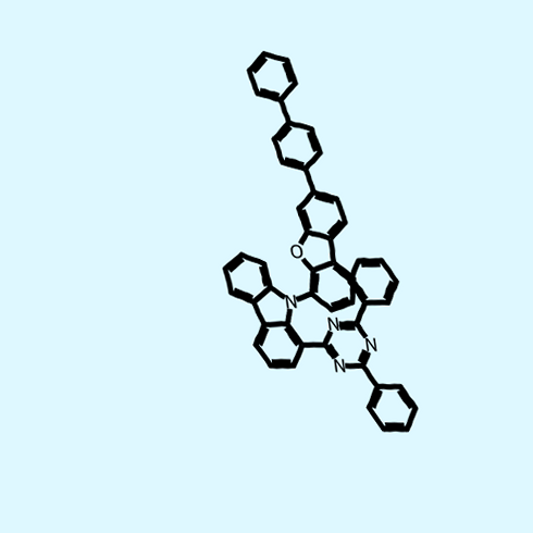 c1ccc(-c2ccc(-c3ccc4c(c3)oc3c(-n5c6ccccc6c6cccc(-c7nc(-c8ccccc8)nc(-c8ccccc8)n7)c65)cccc34)cc2)cc1